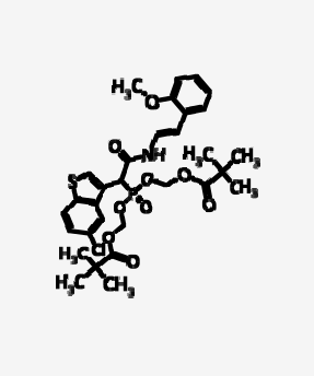 COc1ccccc1C=CNC(=O)C(c1csc2ccc(Cl)cc12)P(=O)(OCOC(=O)C(C)(C)C)OCOC(=O)C(C)(C)C